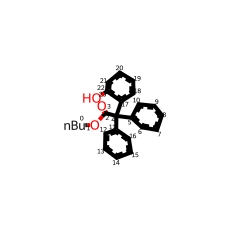 CCCCOC(=O)C(c1ccccc1)(c1ccccc1)c1ccccc1O